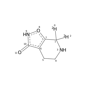 [2H]C1([2H])NCCc2c1o[nH]c2=O